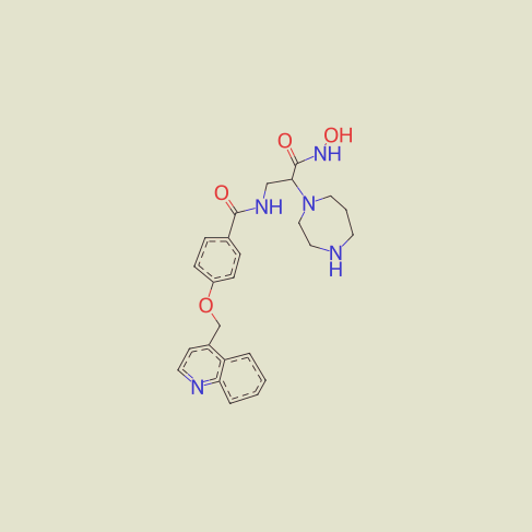 O=C(NCC(C(=O)NO)N1CCCNCC1)c1ccc(OCc2ccnc3ccccc23)cc1